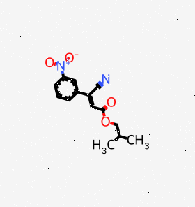 CC(C)COC(=O)C=C(C#N)c1cccc([N+](=O)[O-])c1